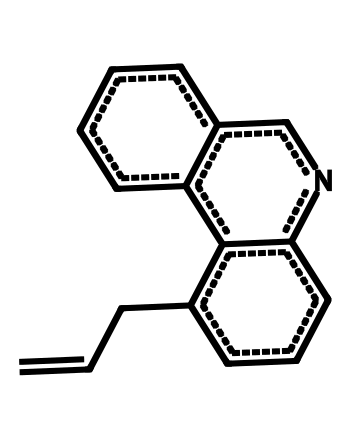 C=CCc1cccc2ncc3ccccc3c12